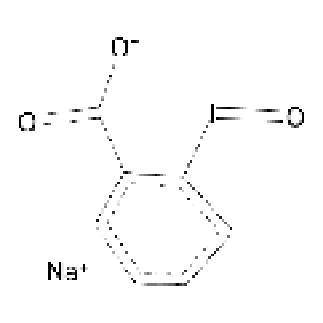 O=Ic1ccccc1C(=O)[O-].[Na+]